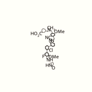 COc1cc(Cn2ncc3c(-c4cccc(-c5cc(F)c(CNC[C@@H]6CCC(=O)N6)c(OC)c5)c4Cl)cccc32)c(C#N)cc1CN(C)CC1CCC[C@@H](C(=O)O)C1